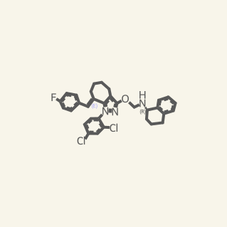 Fc1ccc(/C=C2\CCCCc3c(OCN[C@@H]4CCCc5ccccc54)nn(-c4ccc(Cl)cc4Cl)c32)cc1